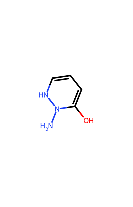 NN1NC=CC=C1O